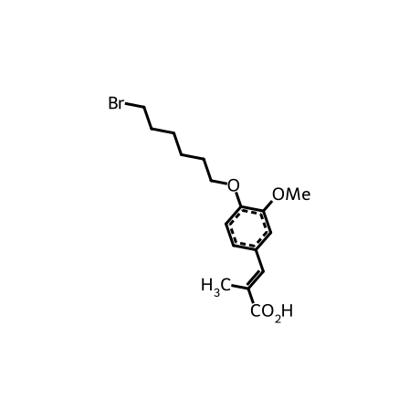 COc1cc(C=C(C)C(=O)O)ccc1OCCCCCCBr